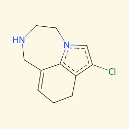 Clc1cn2c3c1CCC=C3CNCC2